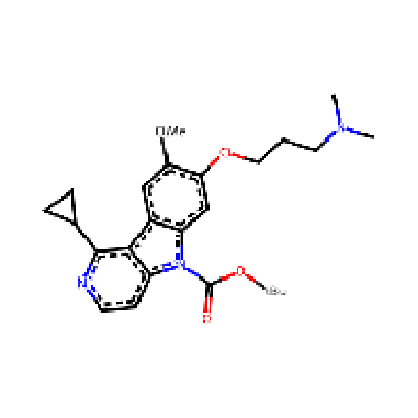 COc1cc2c3c(C4CC4)nccc3n(C(=O)OC(C)(C)C)c2cc1OCCCN(C)C